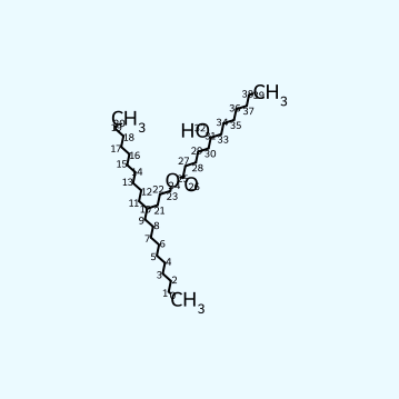 CCCCCCCCCCC(CCCCCCCCCC)CCCOC(=O)CCCCC(O)CCCCCCC